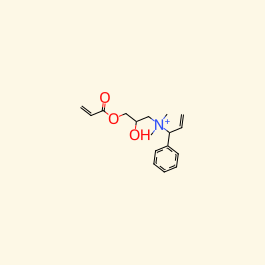 C=CC(=O)OCC(O)C[N+](C)(C)C(C=C)c1ccccc1